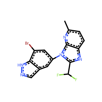 Cc1ccc2nc(C(F)F)n(-c3cc(Br)c4[nH]ncc4c3)c2n1